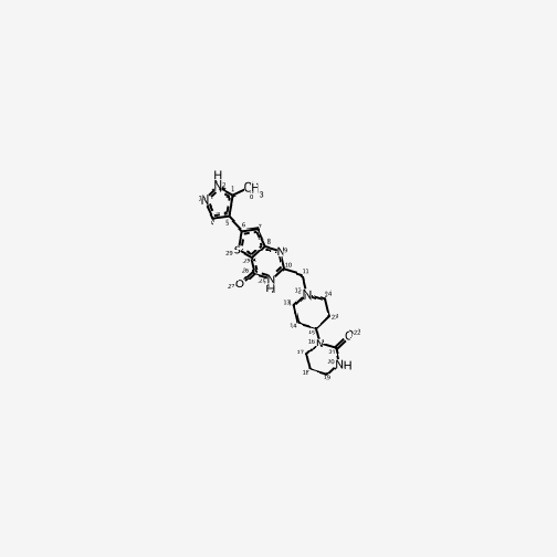 Cc1[nH]ncc1-c1cc2nc(CN3CCC(N4CCCNC4=O)CC3)[nH]c(=O)c2s1